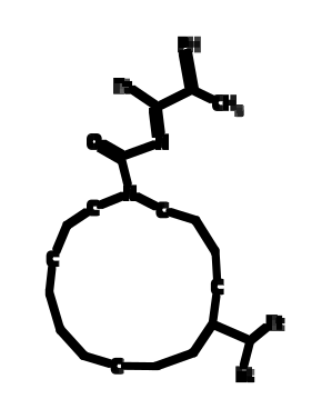 CC/C(=N\C(=O)N1CCCCCCCCCC(C(CC)CC)CCCC1)C(C)=P